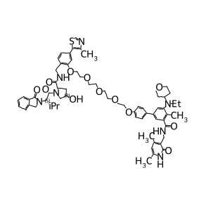 CCN(c1cc(-c2ccc(OCCOCCOCCOCCOc3cc(-c4scnc4C)ccc3CNC(=O)C3C[C@@H](O)CN3C(=O)[C@H](C(C)C)N3Cc4ccccc4C3=O)cc2)cc(C(=O)NCc2c(C)cc(C)[nH]c2=O)c1C)C1CCOCC1